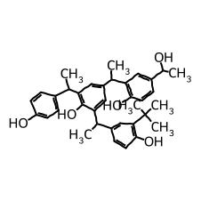 CC(O)c1ccc(O)c(C(C)c2cc(C(C)c3ccc(O)cc3)c(O)c(C(C)c3ccc(O)c(C(C)(C)C)c3)c2)c1